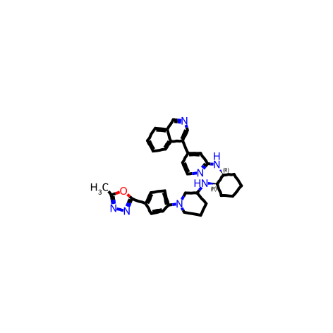 Cc1nnc(-c2ccc(N3CCCC(N[C@@H]4CCCC[C@H]4Nc4cc(-c5cncc6ccccc56)ccn4)C3)cc2)o1